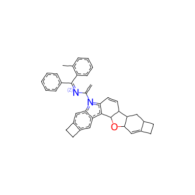 C=C(/N=C(/c1ccccc1)c1ccccc1C)n1c2c(c3cc4c(cc31)CC4)C1OC3C=C4CCC4CC3C1C=C2